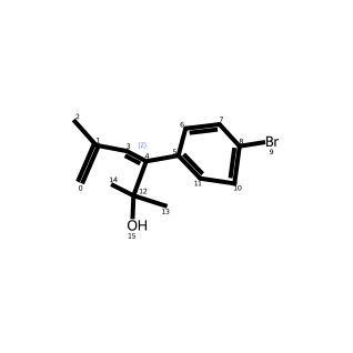 C=C(C)/C=C(/c1ccc(Br)cc1)C(C)(C)O